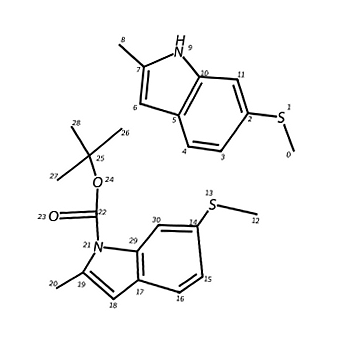 CSc1ccc2cc(C)[nH]c2c1.CSc1ccc2cc(C)n(C(=O)OC(C)(C)C)c2c1